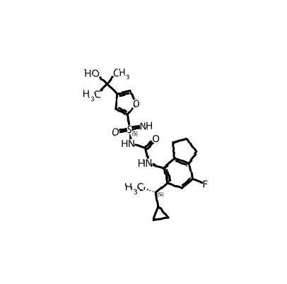 C[C@H](c1cc(F)c2c(c1NC(=O)N[S@@](=N)(=O)c1cc(C(C)(C)O)co1)CCC2)C1CC1